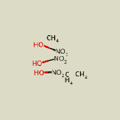 C.C.C.O=[N+]([O-])O.O=[N+]([O-])O.O=[N+]([O-])O